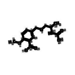 COc1ccc(COCC(C)NC(=O)O)nc1[N+](=O)[O-]